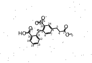 COC(=O)CCc1ccc(Sc2ccccc2C(=O)O)c([N+](=O)[O-])c1